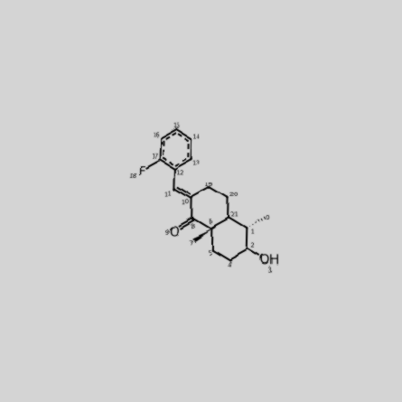 C[C@@H]1C(O)CC[C@]2(C)C(=O)/C(=C/c3ccccc3F)CCC12